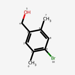 Cc1cc(CO)c(C)cc1Br